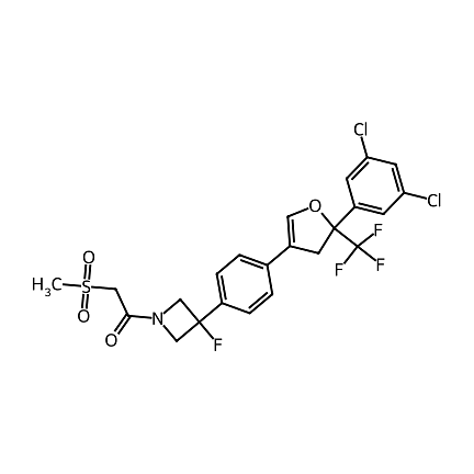 CS(=O)(=O)CC(=O)N1CC(F)(c2ccc(C3=COC(c4cc(Cl)cc(Cl)c4)(C(F)(F)F)C3)cc2)C1